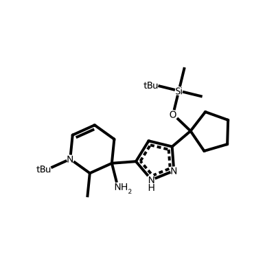 CC1N(C(C)(C)C)C=CCC1(N)c1cc(C2(O[Si](C)(C)C(C)(C)C)CCCC2)n[nH]1